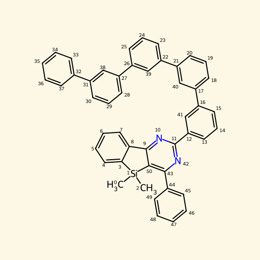 C[Si]1(C)c2ccccc2-c2nc(-c3cccc(-c4cccc(-c5cccc(-c6cccc(-c7ccccc7)c6)c5)c4)c3)nc(-c3ccccc3)c21